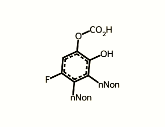 CCCCCCCCCc1c(F)cc(OC(=O)O)c(O)c1CCCCCCCCC